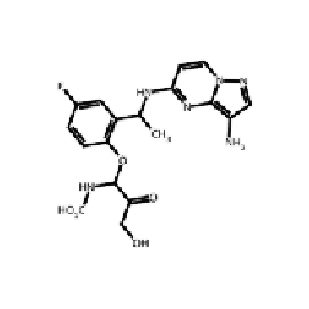 CC(Nc1ccn2ncc(N)c2n1)c1cc(F)ccc1OC(NC(=O)O)C(=O)CO